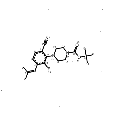 CC(C)=Cc1ccc(C#N)c(N2CCN(C(=O)OC(C)(C)C)CC2)c1F